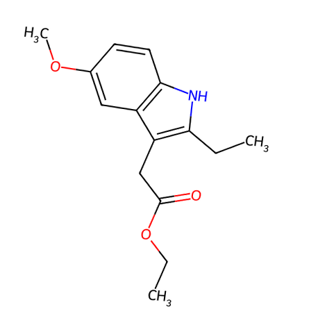 CCOC(=O)Cc1c(CC)[nH]c2ccc(OC)cc12